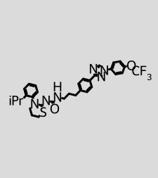 CC(C)c1ccccc1N1CCCS/C1=N\C(=O)NCCCc1ccc(-c2ncn(-c3ccc(OC(F)(F)F)cc3)n2)cc1